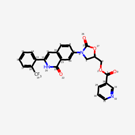 O=C(OCC1CN(c2ccc3cc(-c4ccccc4C(F)(F)F)[nH]c(=O)c3c2)C(=O)O1)c1cccnc1